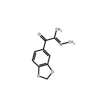 CN=C(C)C(=O)c1ccc2c(c1)OCO2